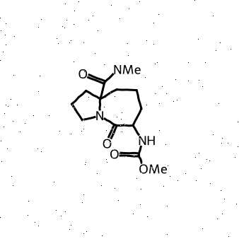 CNC(=O)C12CCCC(NC(=O)OC)C(=O)N1CCC2